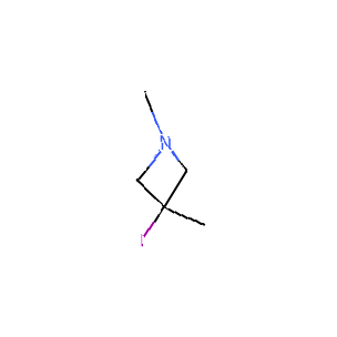 CN1CC(C)(I)C1